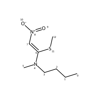 CCCCN(C)C(=C[N+](=O)[O-])SC